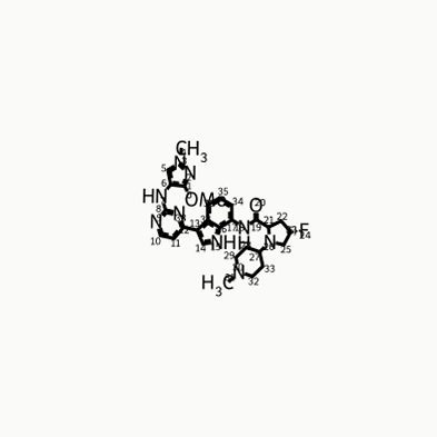 COc1nn(C)cc1Nc1nccc(-c2c[nH]c3c(NC(=O)C4C[C@H](F)CN4C4CCN(C)CC4)cccc23)n1